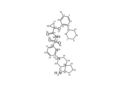 Cc1ccc(C2CCCCC2)c(OC2(C(=O)NS(=O)(=O)c3cccc(N4CCC5(CCCC5N)CC4)n3)CC2)c1